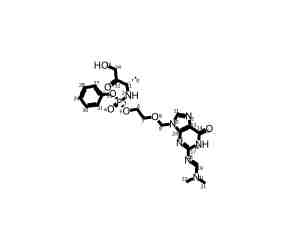 C[C@H](NP(=O)(OCCOCn1cnc2c(=O)[nH]c(/N=C/N(C)C)nc21)Oc1ccccc1)C(=O)CO